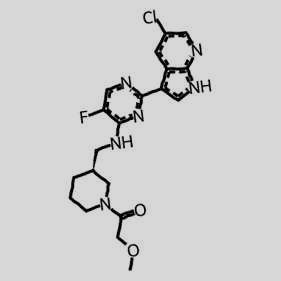 COCC(=O)N1CCC[C@@H](CNc2nc(-c3c[nH]c4ncc(Cl)cc34)ncc2F)C1